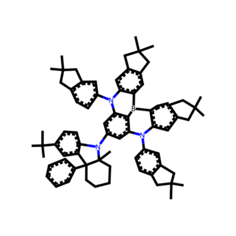 CC1(C)Cc2ccc(N3c4cc5c(cc4B4c6cc7c(cc6N(c6ccc8c(c6)CC(C)(C)C8)c6cc(N8c9ccc(C(C)(C)C)cc9C9(c%10ccccc%10)CCCCC89C)cc3c64)CC(C)(C)C7)CC(C)(C)C5)cc2C1